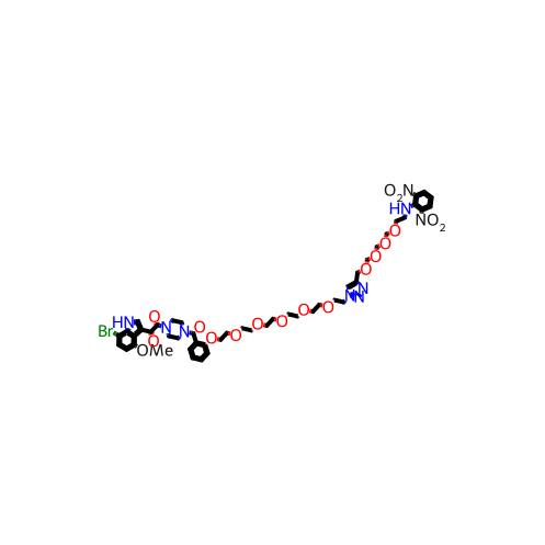 COc1ccc(Br)c2[nH]cc(C(=O)C(=O)N3CCN(C(=O)c4ccccc4OCCOCCOCCOCCOCCOCCn4cc(COCOCOCOCCNc5c([N+](=O)[O-])cccc5[N+](=O)[O-])nn4)CC3)c12